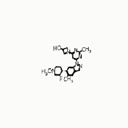 CC1=NC(n2ncc3cc(C)c([C@H]4CCN(C)C[C@H]4F)cc32)CC(N2CC(O)C2)=N1